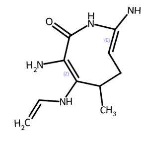 C=CN/C1=C(\N)C(=O)N/C(N)=C/CC1C